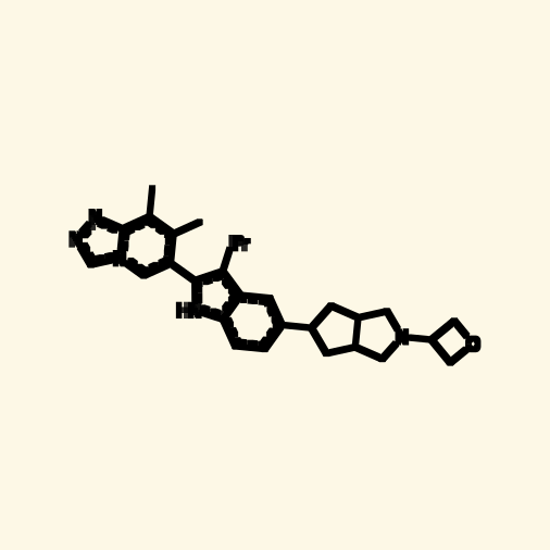 Cc1c(-c2[nH]c3ccc(C4CC5CN(C6COC6)CC5C4)cc3c2C(C)C)cn2cnnc2c1C